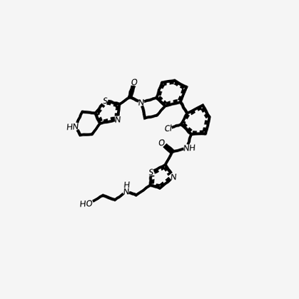 O=C(Nc1cccc(-c2cccc3c2CCN3C(=O)c2nc3c(s2)CNCC3)c1Cl)c1ncc(CNCCO)s1